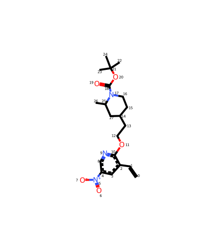 C=Cc1cc([N+](=O)[O-])cnc1OCCC1CCN(C(=O)OC(C)(C)C)C(C)C1